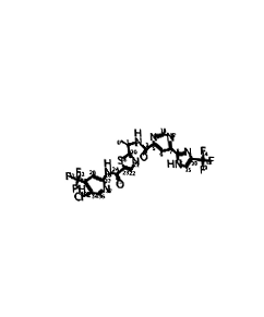 C[C@@H](NC(=O)c1cc(-c2nc(C(F)(F)F)c[nH]2)ncn1)c1ncc(C(=O)Nc2cc(C(F)(F)P)c(Cl)cn2)s1